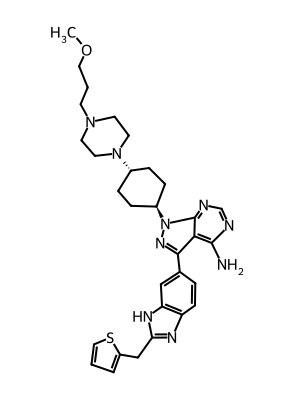 COCCCN1CCN([C@H]2CC[C@H](n3nc(-c4ccc5nc(Cc6cccs6)[nH]c5c4)c4c(N)ncnc43)CC2)CC1